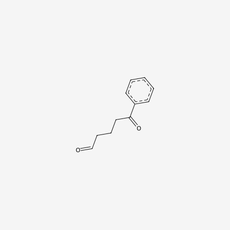 O=CCCCC(=O)c1ccccc1